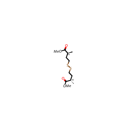 COC(=O)[C@@H](C)CCSSCC[C@H](C)C(=O)OC